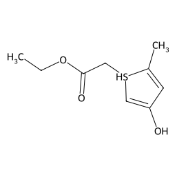 CCOC(=O)C[SH]1C=C(O)C=C1C